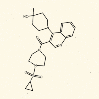 CC1(C#N)CCN(c2c(C(=O)N3CCN(S(=O)(=O)C4CC4)CC3)cnc3ccccc23)CC1